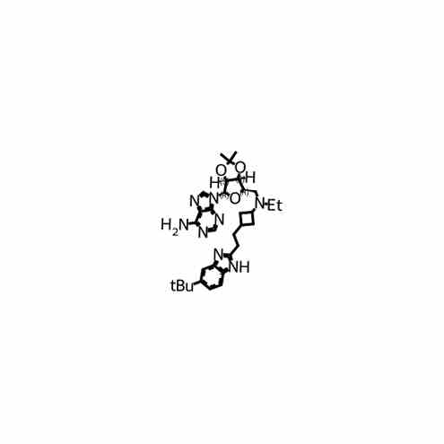 CCN(C[C@H]1O[C@@H](n2cnc3c(N)ncnc32)[C@H]2OC(C)(C)O[C@@H]21)C1CC(CCc2nc3cc(C(C)(C)C)ccc3[nH]2)C1